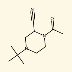 CC(=O)N1CCN(C(C)(C)C)CC1C#N